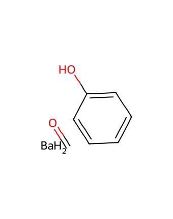 C=O.Oc1ccccc1.[BaH2]